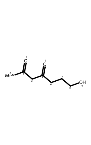 CSC(=O)CC(=O)CCCO